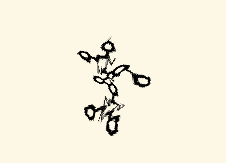 c1ccc(-c2ccc3c(-c4nc(-c5ccccc5)cc(-c5ccccc5)n4)c4c5ccccc5c5cc(-c6nc(-c7ccccc7)nc(-c7ccccc7)n6)ccc5n4c3c2)cc1